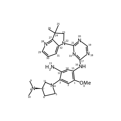 COc1cc(N2CC[C@@H](N(C)C)C2)c(N)cc1Nc1ncnc(N2CC(C)(C)c3ncccc32)n1